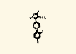 Cc1nn(C)c(C2=CCN(c3ccc(Cl)cc3F)CC2)c1N